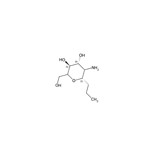 CCC[C@@H]1OC(CO)[C@@H](O)[C@H](O)C1N